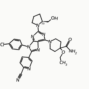 CCOC1(C(N)=O)CCN(c2nc(N3CCC[C@H]3CO)nc3c2nc(-c2ccc(C#N)nc2)n3-c2ccc(Cl)cc2)CC1